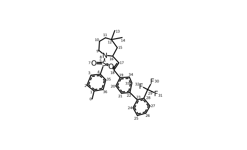 Cc1ccc(S(=O)(=O)N2CCCC(C)(C)CC2C=Cc2ccc(-c3ccccc3C(F)(F)F)cc2)cc1